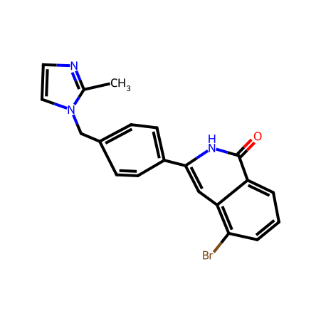 Cc1nccn1Cc1ccc(-c2cc3c(Br)cccc3c(=O)[nH]2)cc1